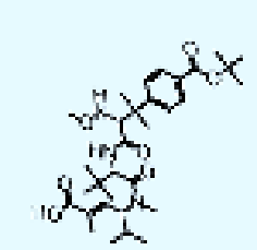 CON[C@H](C(=O)N[C@H](C(=O)N(C)[C@H](/C=C(\C)C(=O)O)C(C)C)C(C)(C)C)C(C)(C)c1ccc(C(=O)OC(C)(C)C)cc1